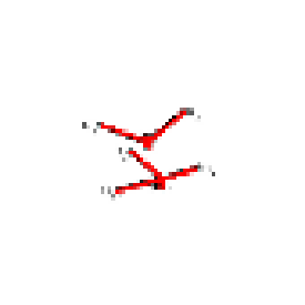 CCCCCCCCCCCCCCCCCCOC(=O)c1ccccc1C(=O)OCCCCCCCCCCCCCCCCCC.CCCCCCCCCCCCCCCCCCc1c(CCCCCCCCCCCCCCCC)c(CCCCCCCCCCCCCCCC)cc(C(=O)O)c1C(=O)O